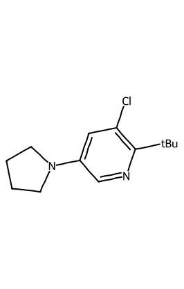 CC(C)(C)c1ncc(N2CCCC2)cc1Cl